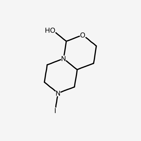 OC1OCCC2CN(I)CCN21